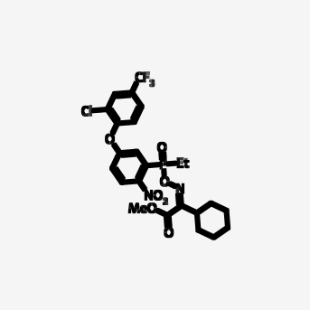 CCP(=O)(ON=C(C(=O)OC)C1CCCCC1)c1cc(Oc2ccc(C(F)(F)F)cc2Cl)ccc1[N+](=O)[O-]